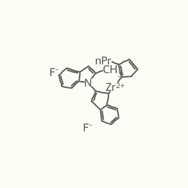 CCCC1=[C]([Zr+2][CH]2C(n3c(C)cc4ccccc43)=Cc3ccccc32)CC=C1.[F-].[F-]